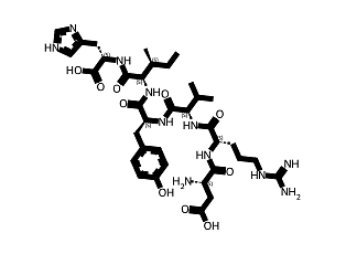 CC[C@H](C)[C@H](NC(=O)[C@H](Cc1ccc(O)cc1)NC(=O)[C@@H](NC(=O)[C@H](CCCNC(=N)N)NC(=O)[C@@H](N)CC(=O)O)C(C)C)C(=O)N[C@@H](Cc1c[nH]cn1)C(=O)O